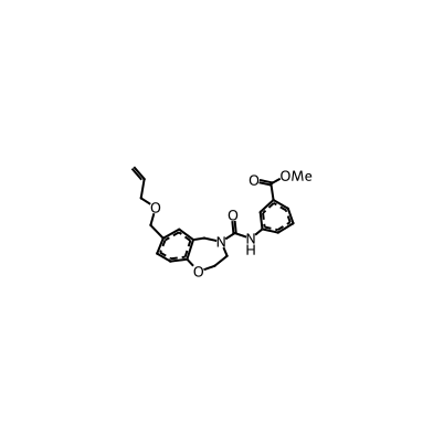 C=CCOCc1ccc2c(c1)CN(C(=O)Nc1cccc(C(=O)OC)c1)CCO2